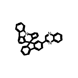 c1ccc2c(c1)-c1ccc(-c3cnc4ccccc4n3)cc1C21c2ccccc2-n2c3ccccc3c3cccc1c32